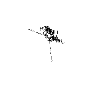 CCCCCCCCCCCCCCCC(=O)OCC(CO)OC(=O)CCCCCCCCCCCCCCC.Nc1ccn([C@H]2CC[C@@H](COP(=O)(O)OP(=O)(O)O)O2)c(=O)n1